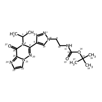 CC(C)n1c(-c2cnn(CCNC(=O)OC(C)(C)C)c2)nn2ccnc2c1=O